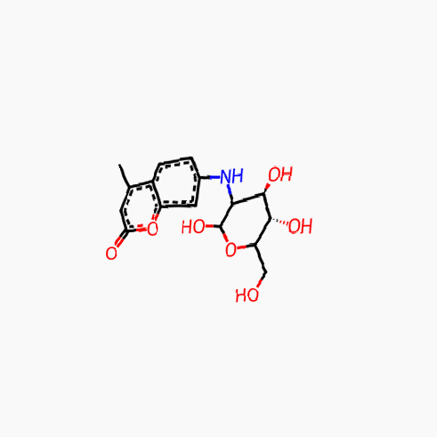 Cc1cc(=O)oc2cc(NC3C(O)OC(CO)[C@@H](O)[C@@H]3O)ccc12